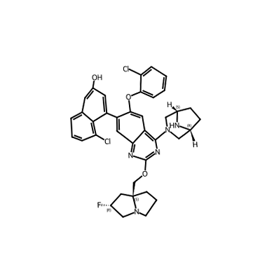 Oc1cc(-c2cc3nc(OC[C@@]45CCCN4C[C@H](F)C5)nc(N4C[C@H]5CC[C@@H](C4)N5)c3cc2Oc2ccccc2Cl)c2c(Cl)cccc2c1